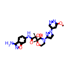 COc1cc(-n2ccc(N3CCO[C@](C)([C@@](C)(O)C(=O)Nc4ccc5c(N)noc5c4)C3=O)n2)cnn1